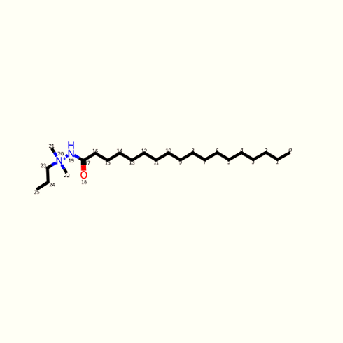 CCCCCCCCCCCCCCCCCC(=O)N[N+](C)(C)CCC